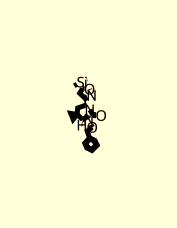 C[Si](C)(C)C1CC([C@@H]2CC3(CC3)[C@H]3CN2C(=O)N3OCc2ccccc2)=NO1